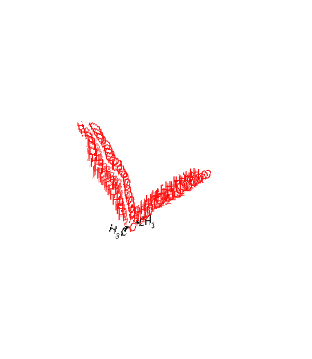 CCOC(C)=O.O.O.O.O.O.O.O.O.O.O.O.O.O.O.O.O.O.O.O.O.O.O.O.O.O.O.O.O.O.O.O.O.O.O.O.O.O.O.O.O